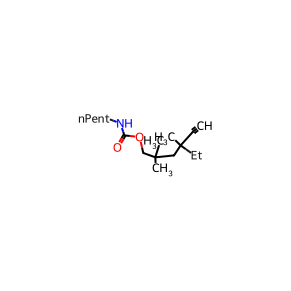 C#CC(C)(CC)CC(C)(C)COC(=O)NCCCCC